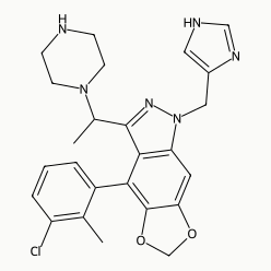 Cc1c(Cl)cccc1-c1c2c(cc3c1c(C(C)N1CCNCC1)nn3Cc1c[nH]cn1)OCO2